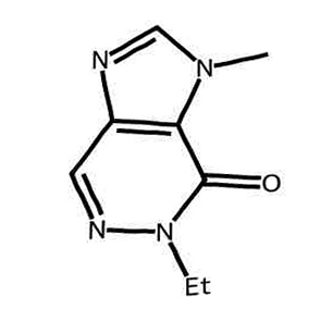 CCn1ncc2ncn(C)c2c1=O